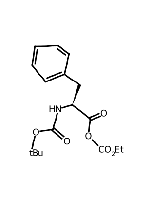 CCOC(=O)OC(=O)[C@H](Cc1ccccc1)NC(=O)OC(C)(C)C